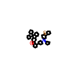 c1ccc(N(c2ccc(-c3cccc4oc5cc6c(cc5c34)-c3ccccc3C6(c3ccccc3)c3ccccc3)cc2)c2ccc3sc4ccccc4c3c2)cc1